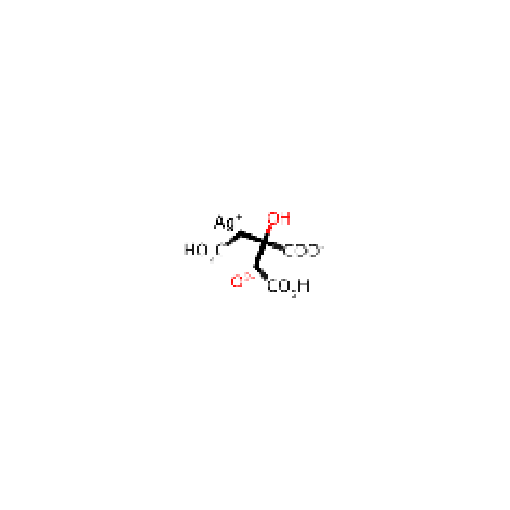 O=C(O)CC(O)(CC(=O)O)C(=O)[O-].[Ag+].[O-2]